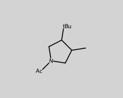 CC(=O)N1CC(C)C(C(C)(C)C)C1